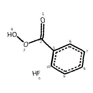 F.O=C(OO)c1ccccc1